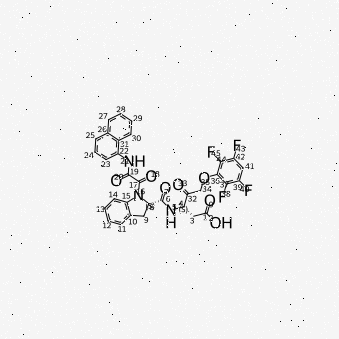 O=C(O)C[C@H](NC(=O)[C@@H]1Cc2ccccc2N1C(=O)C(=O)Nc1cccc2ccccc12)C(=O)COc1c(F)c(F)cc(F)c1F